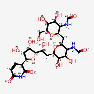 O=CNC1C(O)C(O)[C@@H](C[C@@H](O)[C@@H]2O[C@@H](C3C=CC(=O)NC3=O)[C@H](O)[C@@H]2O)O[C@H]1C[C@H]1O[C@@H](CO)C(O)C(O)C1NC=O